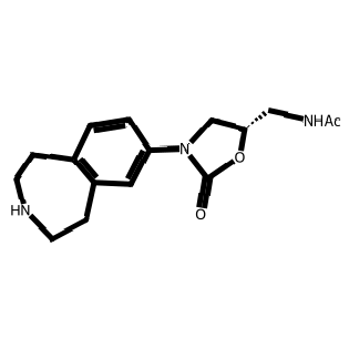 CC(=O)NC[C@H]1CN(c2ccc3c(c2)CCNCC3)C(=O)O1